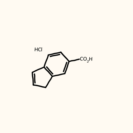 Cl.O=C(O)c1ccc2c(c1)CC=C2